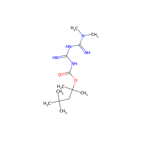 CN(C)C(=N)NC(=N)NC(=O)OC(C)(C)CC(C)(C)C